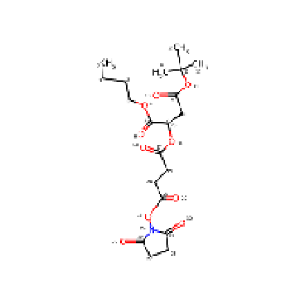 CCCCOC(=O)[C@@H](CC(=O)OC(C)(C)C)OC(=O)CCC(=O)ON1C(=O)CCC1=O